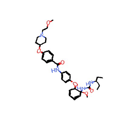 CCC(CC)NC(=O)NC1(OC)C=CC=CC1Oc1ccc(NC(=O)c2ccc(OC3CCN(CCOC)CC3)cc2)cc1